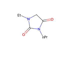 [CH2]CCN1C(=O)CN(CC)C1=O